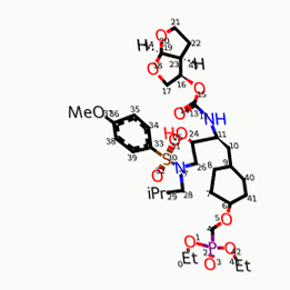 CCOP(=O)(COC1CCC(C[C@H](NC(=O)O[C@H]2CO[C@H]3OCC[C@H]32)[C@H](O)CN(CC(C)C)S(=O)(=O)c2ccc(OC)cc2)CC1)OCC